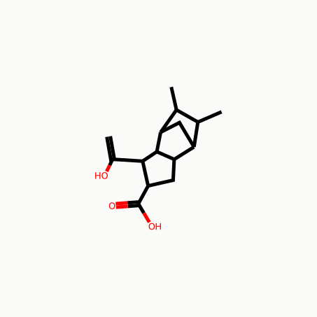 C=C(O)C1C(C(=O)O)CC2C3CC(C(C)C3C)C21